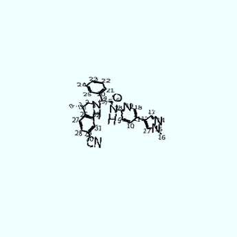 C[C@H](CN[C@H](C(=O)Nc1ccc(-c2cnn(C)c2)cn1)c1ccccc1)c1ccc(C#N)cc1